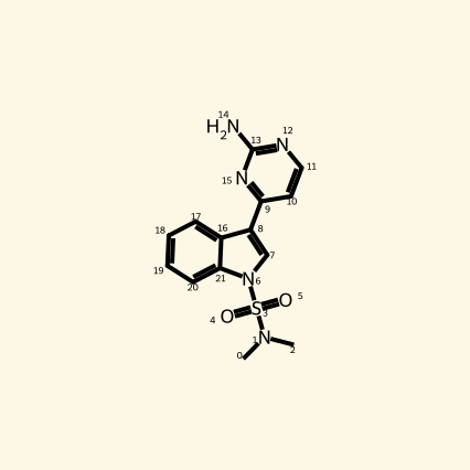 CN(C)S(=O)(=O)n1cc(-c2ccnc(N)n2)c2ccccc21